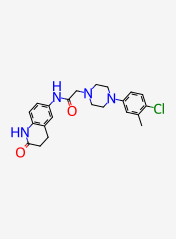 Cc1cc(N2CCN(CC(=O)Nc3ccc4c(c3)CCC(=O)N4)CC2)ccc1Cl